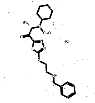 CC(C)[C@@H](C(=O)c1nnc(SCCNCc2ccccc2)o1)N(C=O)C1CCCCC1.Cl